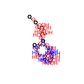 CC(c1ccccc1)C1NC(=O)CNC(=O)C(CO)NC(=O)C(C(O)C2CNC(=N)N2C2OC(CO)C(O)C(O)C2O)NC(=O)C(C(O)C2CNC(=N)N2)NC(=O)C(Cc2ccc(OC3OC(CO)C(OC4OC5COC(c6ccc(OCc7ccccc7)cc6)OC5C(O)C4O)C(O)C3O)cc2)NC1=O